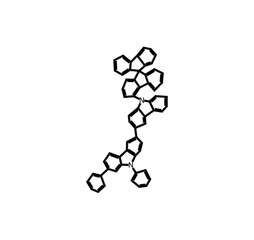 c1ccc(-c2ccc3c4cc(-c5ccc6c(c5)c5ccccc5n6-c5cccc6c5-c5ccccc5C65c6ccccc6-c6ccccc65)ccc4n(-c4ccccc4)c3c2)cc1